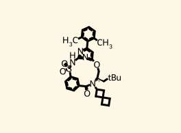 Cc1cccc(C)c1-c1cc2nc(n1)NS(=O)(=O)c1cccc(c1)C(=O)N(C1CC3(CCC3)C1)[C@H](CC(C)(C)C)CO2